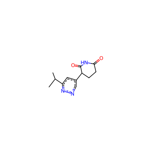 CC(C)c1cc(C2CCC(=O)NC2=O)cnn1